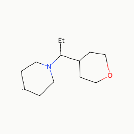 CCC(C1CCOCC1)N1CC[CH]CC1